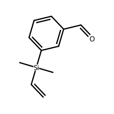 C=C[Si](C)(C)c1cccc(C=O)c1